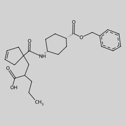 CCCC(CC1(C(=O)N[C@H]2CC[C@@H](C(=O)OCc3ccccc3)CC2)CC=CC1)C(=O)O